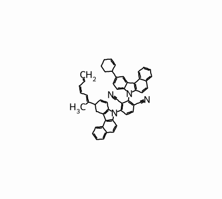 C=C/C=C\C=C(/C)C1C=Cc2c(c3c4ccccc4ccc3n2-c2ccc(C#N)c(-n3c4ccc(C5C=CCCC5)cc4c4c5ccccc5ccc43)c2C#N)C1